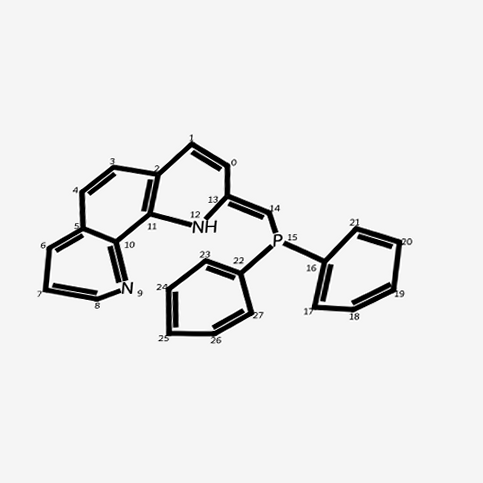 C1=Cc2ccc3cccnc3c2NC1=CP(c1ccccc1)c1ccccc1